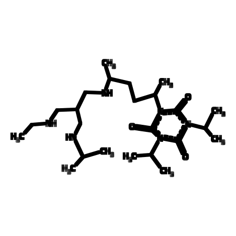 CCNCC(CNC(C)C)CNC(C)CCC(C)n1c(=O)n(C(C)C)c(=O)n(C(C)C)c1=O